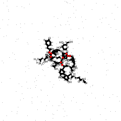 CN[C@H](CC(C)C)C(=O)N[C@H]1C(=O)N[C@@H](CC(N)=O)C(=O)N[C@H]2C(=O)N[C@H]3C(=O)N[C@H](C(=O)N[C@@H](C(=O)NOCC(=O)NC#N)c4cc(O)cc(O)c4-c4cc3ccc4O)[C@H](O)c3ccc(c(Cl)c3)Oc3cc2cc(c3O[C@@H]2O[C@H](CO)[C@@H](O)[C@H](O)[C@H]2O[C@H]2C[C@](C)(NCCn3ccc(NC(=O)Cc4ccc(Cl)c(F)c4)nc3=O)[C@H](O)[C@H](C)O2)Oc2ccc(cc2Cl)[C@H]1O